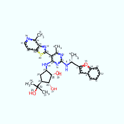 Cc1nc(N[C@H](C)c2cc3ccccc3o2)nc(N[C@@H]2C[C@H](C(C)(C)O)[C@@H](O)[C@H]2O)c1-c1nc2c(C)nccc2s1